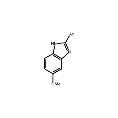 COc1ccc2[nH]c(C(C)=O)nc2c1